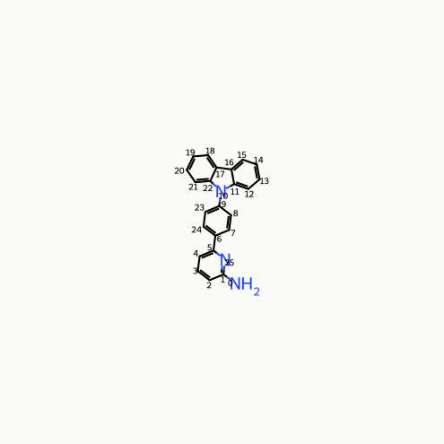 Nc1cccc(-c2ccc(-n3c4ccccc4c4ccccc43)cc2)n1